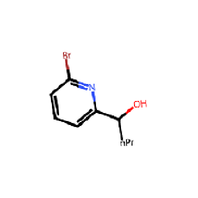 CCCC(O)c1cccc(Br)n1